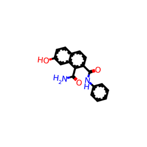 NC(=O)c1c(C(=O)Nc2ccccc2)ccc2ccc(O)cc12